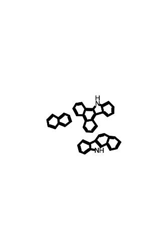 c1ccc2c(c1)[nH]c1c3ccccc3c3ccccc3c21.c1ccc2c(c1)ccc1c3ccccc3[nH]c21.c1ccc2ccccc2c1